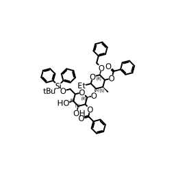 CCC1O[C@@H](OCc2ccccc2)C(OC(=O)c2ccccc2)[C@@H](C)[C@@H]1O[C@@H]1OC(CO[Si](c2ccccc2)(c2ccccc2)C(C)(C)C)[C@H](O)[C@H](O)C1OC(=O)c1ccccc1